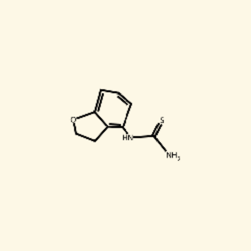 NC(=S)Nc1cccc2c1CCO2